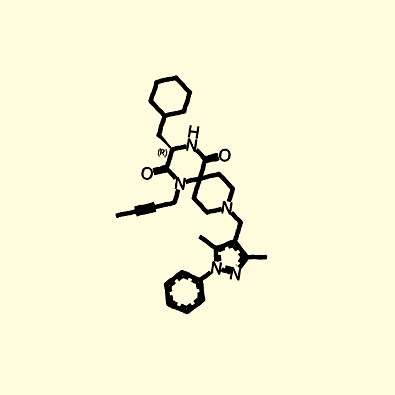 CC#CCN1C(=O)[C@@H](CC2CCCCC2)NC(=O)C12CCN(Cc1c(C)nn(-c3ccccc3)c1C)CC2